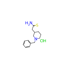 Cl.NC(=S)CC1CCCN(Cc2ccccc2)C1